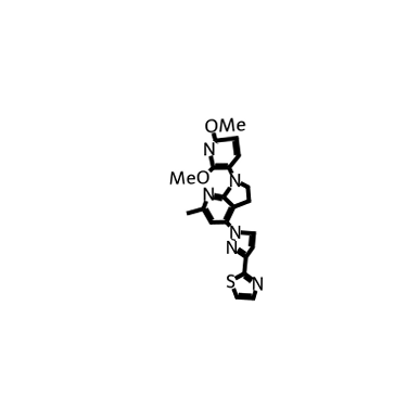 COc1ccc(N2CCc3c(-n4ccc(-c5nccs5)n4)cc(C)nc32)c(OC)n1